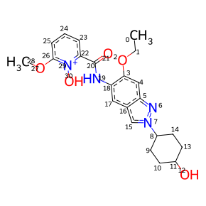 CCOc1cc2nn(C3CCC(O)CC3)cc2cc1NC(=O)c1cccc(OC)[n+]1O